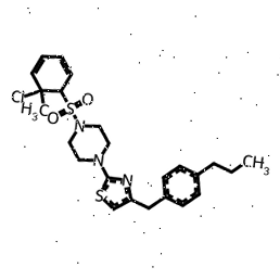 CCCc1ccc(Cc2csc(N3CCN(S(=O)(=O)C4C=CC=CC4(C)Cl)CC3)n2)cc1